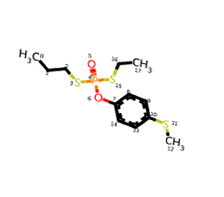 CCCSP(=O)(Oc1ccc(SC)cc1)SCC